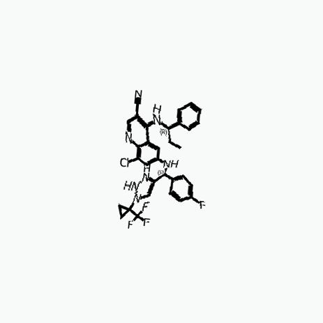 CC[C@@H](Nc1c(C#N)cnc2c(Cl)cc(N[C@H](C3=CN(C4(C(F)(F)F)CC4)NN3)c3ccc(F)cc3)cc12)c1ccccc1